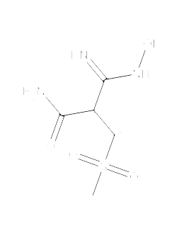 CS(=O)(=O)C[C](C(=N)NO)C(N)=O